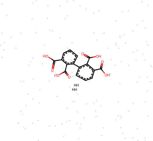 O=C(O)c1cccc(-c2cccc(C(=O)O)c2C(=O)O)c1C(=O)O.[HH].[HH]